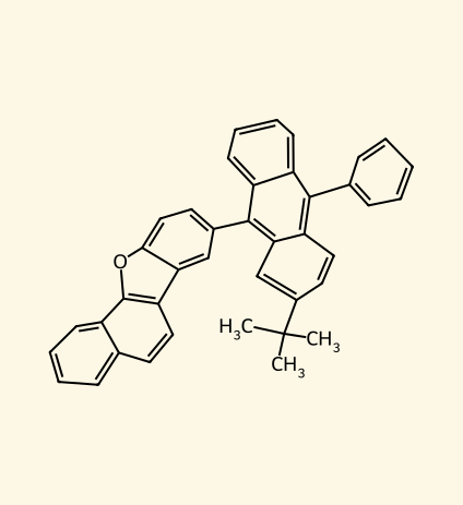 CC(C)(C)c1ccc2c(-c3ccccc3)c3ccccc3c(-c3ccc4oc5c6ccccc6ccc5c4c3)c2c1